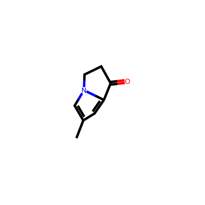 Cc1cc2n(c1)CCC2=O